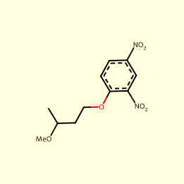 COC(C)CCOc1ccc([N+](=O)[O-])cc1[N+](=O)[O-]